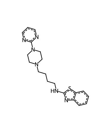 c1cnc(N2CCN(CCCCNc3nc4ccccc4s3)CC2)nc1